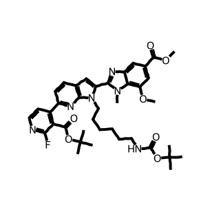 COC(=O)c1cc(OC)c2c(c1)nc(-c1cc3ccc(-c4ccnc(F)c4C(=O)OC(C)(C)C)nc3n1CCCCCCNC(=O)OC(C)(C)C)n2C